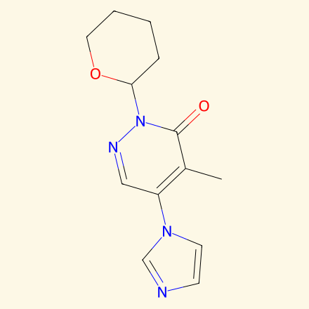 Cc1c(-n2ccnc2)cnn(C2CCCCO2)c1=O